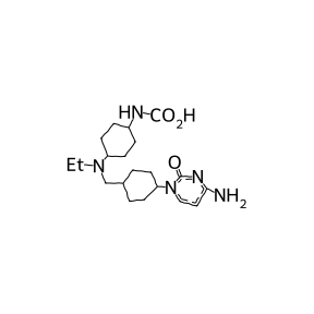 CCN(CC1CCC(n2ccc(N)nc2=O)CC1)C1CCC(NC(=O)O)CC1